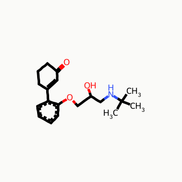 CC(C)(C)NCC(O)COc1ccccc1C1=CC(=O)CCC1